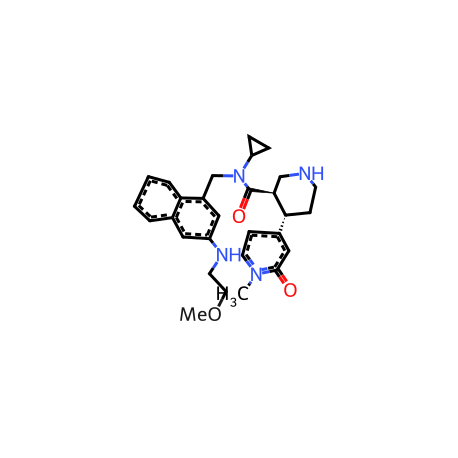 COCCNc1cc(CN(C(=O)[C@H]2CNCC[C@@H]2c2ccn(C)c(=O)c2)C2CC2)c2ccccc2c1